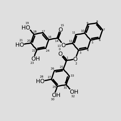 O=C(Oc1cc2ccccc2cc1OC(=O)c1cc(O)c(O)c(O)c1)c1cc(O)c(O)c(O)c1